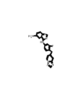 Nc1ccc2ncnc(Nc3ccc(Cc4ccn5ncnc5c4)c(F)c3)c2c1